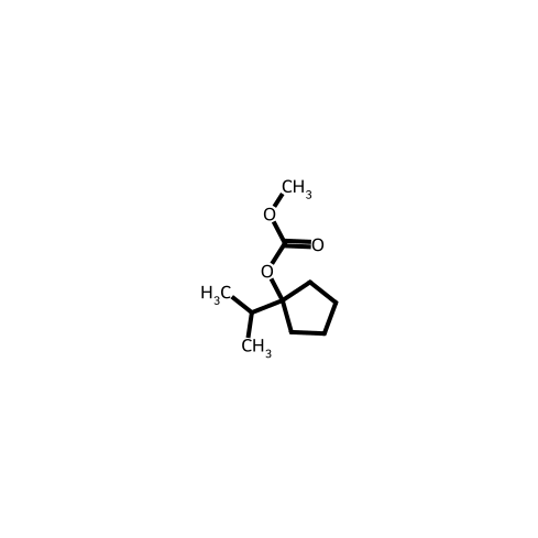 COC(=O)OC1(C(C)C)CCCC1